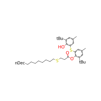 CCCCCCCCCCCCCCCCCCSCCC(=O)Oc1c(Sc2cc(C)cc(C(C)(C)C)c2O)cc(C)cc1C(C)(C)C